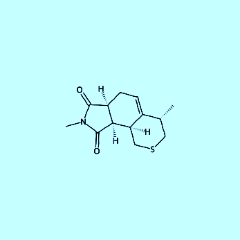 C[C@@H]1CSC[C@@H]2C1=CC[C@@H]1C(=O)N(C)C(=O)[C@@H]12